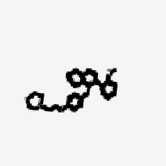 COc1ccccc1-c1ccc2ccccc2c1Cc1ccc(OCCN2CCCCC2)cc1